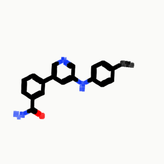 COc1ccc(Nc2cncc(-c3cccc(C(N)=O)c3)c2)cc1